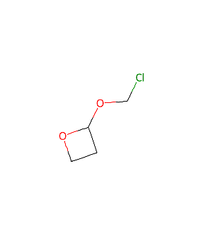 ClCOC1CCO1